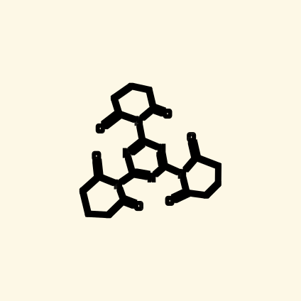 O=C1CCCC(=O)N1c1nc(N2C(=O)CCCC2=O)nc(N2C(=O)CCCC2=O)n1